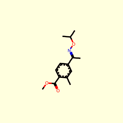 COC(=O)c1ccc(/C(C)=N/OC(C)C)cc1C